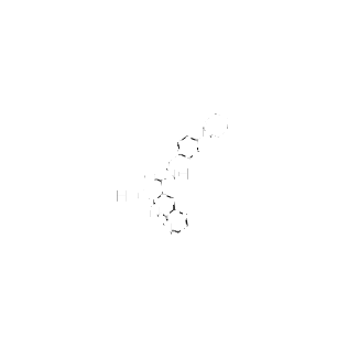 Cc1nc2ncccc2cc1C(=O)NCc1ccc(N2CCSCC2)cc1